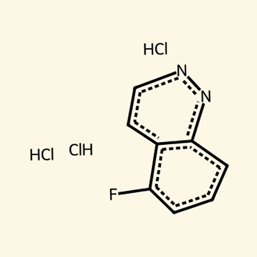 Cl.Cl.Cl.Fc1cccc2nnccc12